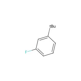 [CH2]C(C)(C)c1cccc(F)c1